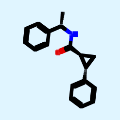 C[C@H](NC(=O)[C@H]1C[C@@H]1c1ccccc1)c1ccccc1